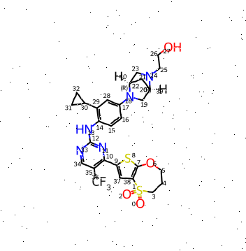 O=S1(=O)CCCOc2sc(-c3nc(Nc4ccc(N5C[C@H]6C[C@@H]5CN6CCO)cc4C4CC4)ncc3C(F)(F)F)cc21